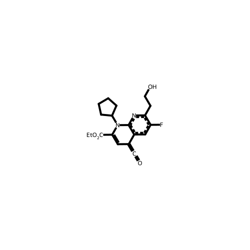 CCOC(=O)C1=CC(=C=O)c2cc(F)c(CCO)nc2N1C1CCCC1